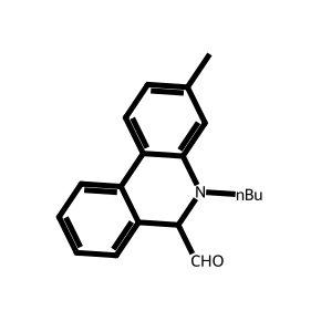 CCCCN1c2cc(C)ccc2-c2ccccc2C1C=O